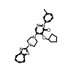 Cc1cccc(-n2ncc(N3CCN(c4nc5ccccc5s4)CC3)c(OC3CCCC3)c2=O)c1